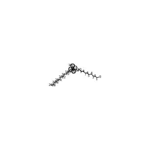 CCCCCCCCCCCCOP(=O)(OC)OCCCCCCCCCCCC